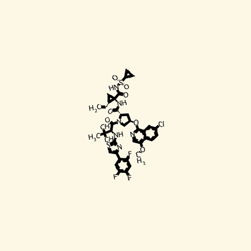 C=C[C@@H]1C[C@]1(NC(=O)[C@@H]1C[C@@H](Oc2ncc(OC)c3ccc(Cl)cc23)CN1C(=O)[C@@H](Nc1nc(-c2cc(F)c(F)cc2F)cs1)C(C)(C)C)C(=O)NS(=O)(=O)C1CC1